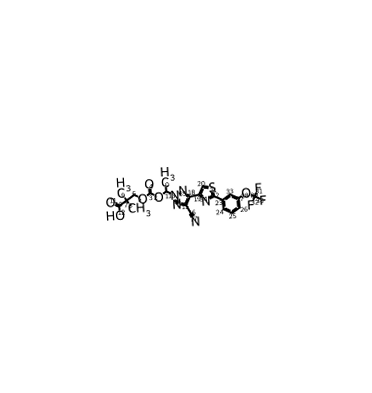 CC(OC(=O)OCC(C)(C)C(=O)O)n1nc(C#N)c(-c2csc(-c3cccc(OC(F)(F)F)c3)n2)n1